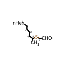 CCCCCCCCCCC(C)SC[C]=O